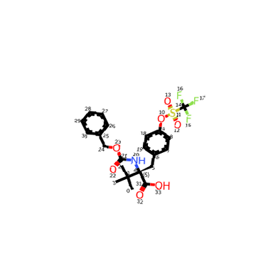 CC(C)(C)[C@](Cc1ccc(OS(=O)(=O)C(F)(F)F)cc1)(NC(=O)OCc1ccccc1)C(=O)O